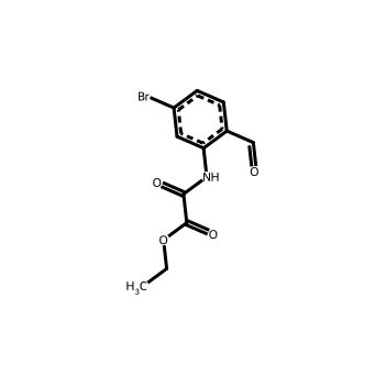 CCOC(=O)C(=O)Nc1cc(Br)ccc1C=O